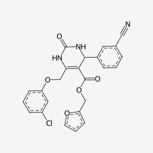 N#Cc1cccc(C2NC(=O)NC(COc3cccc(Cl)c3)=C2C(=O)OCc2ccco2)c1